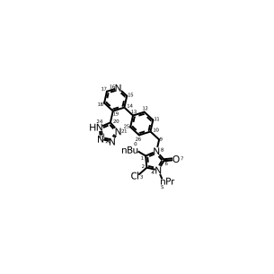 CCCCc1c(Cl)n(CCC)c(=O)n1Cc1ccc(-c2cnccc2-c2nnn[nH]2)cc1